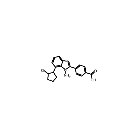 Nn1c(-c2ccc(C(=O)O)cc2)cc2cccc(C3CCCC3Cl)c21